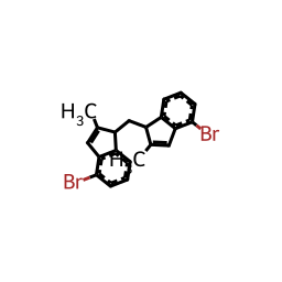 CC1=Cc2c(Br)cccc2C1CC1C(C)=Cc2c(Br)cccc21